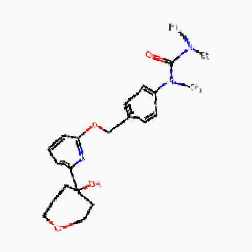 CCN(CC)C(=O)N(C)c1ccc(COc2cccc(C3(O)CCOCC3)n2)cc1